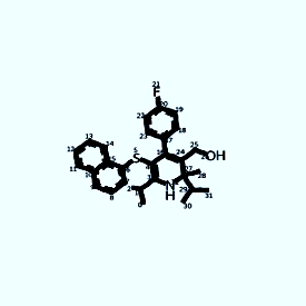 CC(C)C1=C(Sc2cccc3ccccc23)C(c2ccc(F)cc2)=C(CO)C(C)(C(C)C)N1